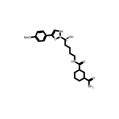 COc1ccc(C2=CNN([C@@H](O)CCCCNC(=O)C3CCCC(C(N)=O)C3)O2)cc1